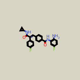 Nc1ccc(F)cc1NC(=O)c1ccc(/C=C(/C(=O)NC2CC2)c2ccc(F)cc2)cc1